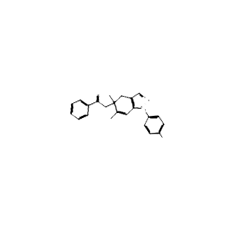 CC1=Cc2c(cnn2-c2ccc(F)cc2)CC1(C)CC(=O)c1ccccc1